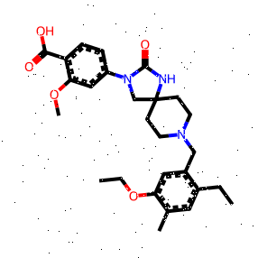 CCOc1cc(CN2CCC3(CC2)CN(c2ccc(C(=O)O)c(OC)c2)C(=O)N3)c(CC)cc1C